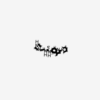 Cc1cc(N2CCCCC2)nc2ccc(NC(=S)NCCN3CCNCC3)cc12